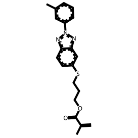 C=C(C)C(=O)OCCCSc1ccc2nn(-c3cccc(C)c3)nc2c1